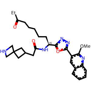 CCC(=O)CCCCC[C@H](NC(=O)CC1CC2(CNC2)C1)c1nnc(-c2cc3ccccc3nc2OC)o1